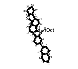 CCCCCCCCn1c2cc(-c3ccc4ccccc4c3)ccc2c2ccc3c(ccc4c5ccccc5sc43)c21